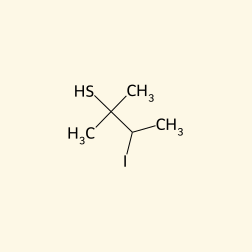 CC(I)C(C)(C)S